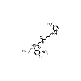 Cc1ccnc(NCCCCC(=O)NCC(=O)NC(CC(=O)O)c2ccc(Cl)c([N+](=O)[O-])c2)c1